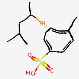 CC(C)CC(C)P.Cc1ccc(S(=O)(=O)O)cc1